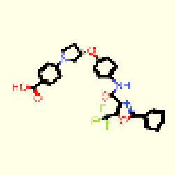 O=C(O)c1ccc(N2CC[C@H](Oc3ccc(NC(=O)c4nc(-c5ccccc5)oc4C(F)(F)F)cc3)C2)cc1